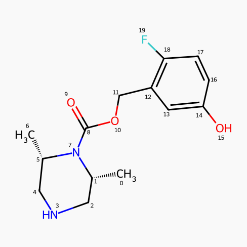 C[C@@H]1CNC[C@H](C)N1C(=O)OCc1cc(O)ccc1F